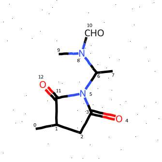 CC1CC(=O)N(C(C)N(C)C=O)C1=O